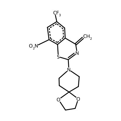 C=C1N=C(N2CCC3(CC2)OCCO3)Sc2c1cc(C(F)(F)F)cc2[N+](=O)[O-]